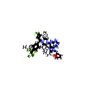 Cc1cc(C(C2CC(F)(F)C2)N2C[C@H](C)N(c3nc4nncn4c4c3nc(C)n4C[C@@H]3CCCO3)C[C@H]2C)ccc1C(F)(F)F